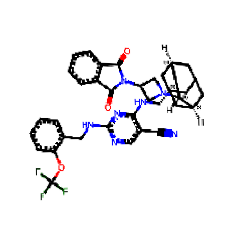 N#Cc1cnc(NCc2ccccc2OC(F)(F)F)nc1NC[C@@]12CC3C[C@H](C1)[C@@H](N1CC(N4C(=O)c5ccccc5C4=O)C1)[C@@H](C3)C2